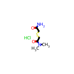 CN(C)C(=O)CSCC(N)=O.Cl